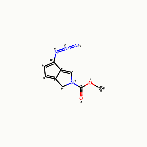 CC(C)(C)OC(=O)N1C=C2C(=CC=C2N=[N+]=[N-])C1